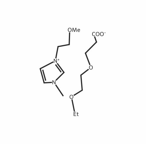 CCOCCOCCC(=O)[O-].COCC[n+]1ccn(C)c1